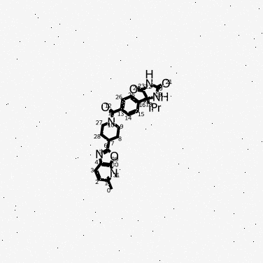 Cc1ccc2nc(C3CCN(C(=O)c4ccc([C@@]5(C(C)C)NC(=O)NC5=O)cc4)CC3)oc2n1